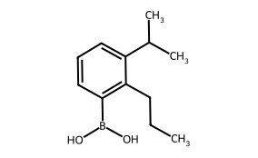 CCCc1c(B(O)O)cccc1C(C)C